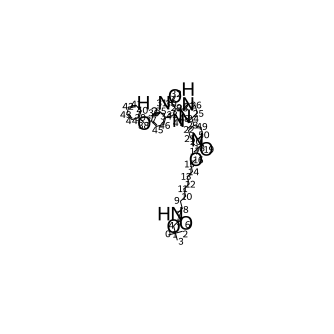 CC(C)(C)OC(=O)NCCCCCCCCOCC(=O)N1CCC(C2CCNc3c(C(N)=O)c(-c4ccc(Oc5ccccc5)cc4)nn32)CC1